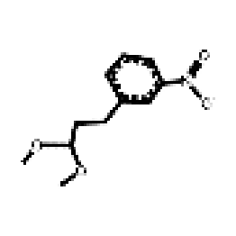 COC(CCc1cccc([N+](=O)[O-])c1)OC